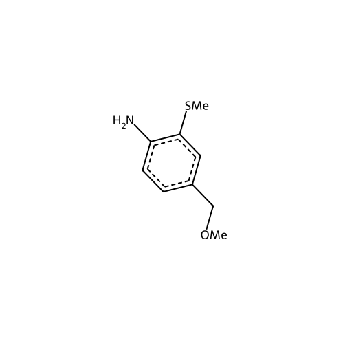 COCc1ccc(N)c(SC)c1